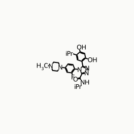 CC(C)NC(=O)c1nnc(-c2cc(C(C)C)c(O)cc2O)n1-c1ccc(N2CCN(C)CC2)cc1F